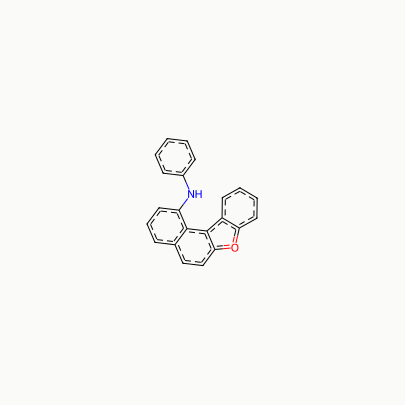 c1ccc(Nc2cccc3ccc4oc5ccccc5c4c23)cc1